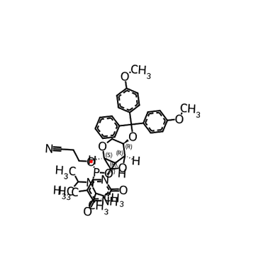 COc1ccc(C(O[C@@H]2CO[C@H]3[C@H](OP(OCCC#N)N(C(C)C)C(C)C)[C@@H]2O[C@H]3n2cc(C)c(=O)[nH]c2=O)(c2ccccc2)c2ccc(OC)cc2)cc1